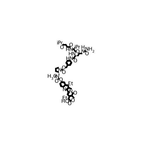 CCc1c2c(nc3ccc(OC(=O)N(C)C[C@@H]4CCCN4C(=O)OCc4ccc(NC(=O)[C@H](CCCNC(N)=O)NC(=O)[C@@H](NC(=O)CCC(=O)C(C)C)C(C)C)cc4)cc13)-c1cc3c(c(=O)n1C2)COC(=O)[C@]3(O)CC